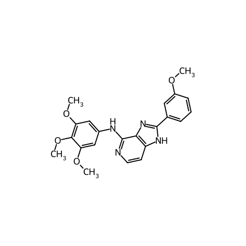 COc1cccc(-c2nc3c(Nc4cc(OC)c(OC)c(OC)c4)nccc3[nH]2)c1